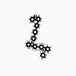 c1ccc(-n2c3ccccc3c3ccc(-c4ccc5c6ccccc6n(-c6ccc(-c7ccc(-c8ccc(-c9cccc%10oc%11ccccc%11c9%10)cc8)cc7)cc6)c5c4)cc32)cc1